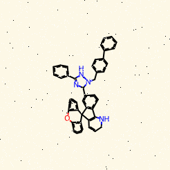 C1=CC2=C(NC1)c1ccc(C3N=C(c4ccccc4)NN3Cc3ccc(-c4ccccc4)cc3)cc1C21c2ccccc2Oc2ccccc21